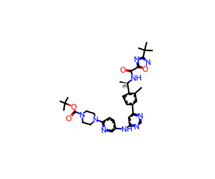 Cc1cc(-c2cc(Nc3ccc(N4CCN(C(=O)OC(C)(C)C)CC4)nc3)ncn2)ccc1[C@@H](C)NC(=O)c1nc(C(C)(C)C)no1